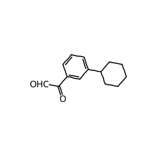 O=CC(=O)c1cccc(C2CCCCC2)c1